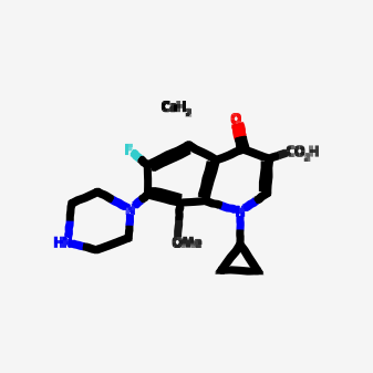 COc1c(N2CCNCC2)c(F)cc2c(=O)c(C(=O)O)cn(C3CC3)c12.[CaH2]